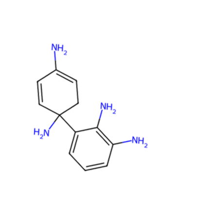 NC1=CCC(N)(c2cccc(N)c2N)C=C1